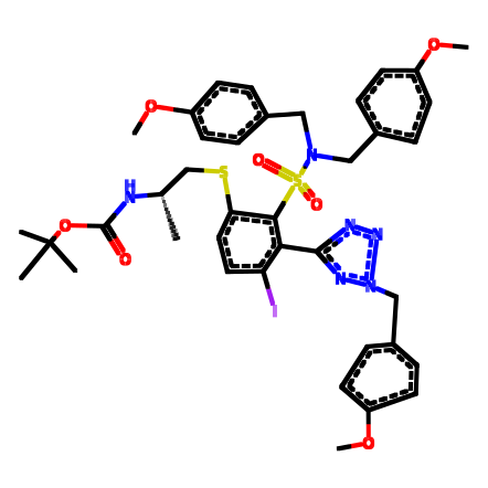 COc1ccc(CN(Cc2ccc(OC)cc2)S(=O)(=O)c2c(SC[C@H](C)NC(=O)OC(C)(C)C)ccc(I)c2-c2nnn(Cc3ccc(OC)cc3)n2)cc1